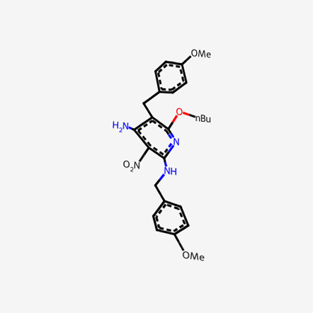 CCCCOc1nc(NCc2ccc(OC)cc2)c([N+](=O)[O-])c(N)c1Cc1ccc(OC)cc1